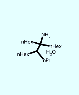 CCCCCCC(CCC)C(N)(CCCCCC)CCCCCC.O